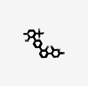 CN1C=CC(C(F)(F)F)=C(c2ccc(-c3cccc(C4CCC(=O)NC4=O)c3Cl)cc2)C1O